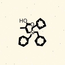 CC(=C[Si](Cc1ccccc1)(Cc1ccccc1)Cc1ccccc1)C(=O)O